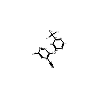 N#Cc1cc(Cl)nnc1Oc1cccc(C(F)(F)F)c1